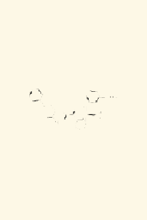 C=C(C[C@@H](CCc1ccccc1)C(N)=O)C(=O)[C@@H]1CCCN1C(Nc1cccc(OC)c1)=C1CC1